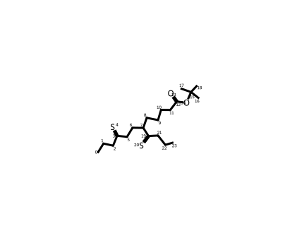 CCCC(=S)CCC(CCCCC(=O)OC(C)(C)C)C(=S)CCC